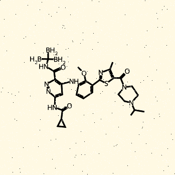 BC(B)(B)NC(=O)c1nnc(NC(=O)C2CC2)cc1Nc1cccc(-c2nc(C)c(C(=O)N3CCN(C(C)C)CC3)s2)c1OC